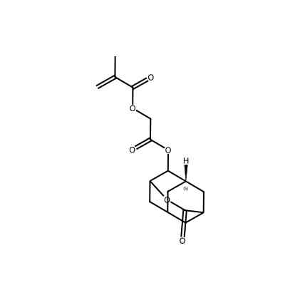 C=C(C)C(=O)OCC(=O)OC1C2CC3CC(C[C@@H]1C3)C(=O)O2